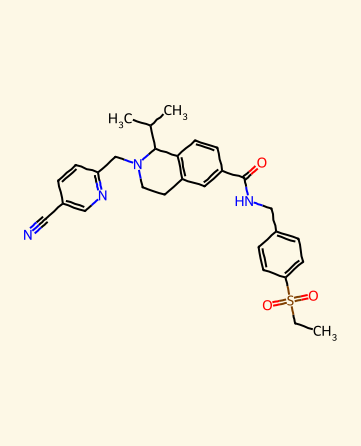 CCS(=O)(=O)c1ccc(CNC(=O)c2ccc3c(c2)CCN(Cc2ccc(C#N)cn2)C3C(C)C)cc1